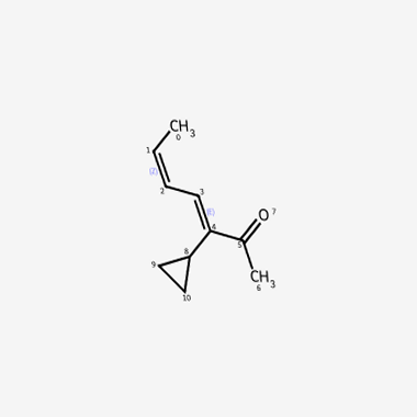 C/C=C\C=C(\C(C)=O)C1CC1